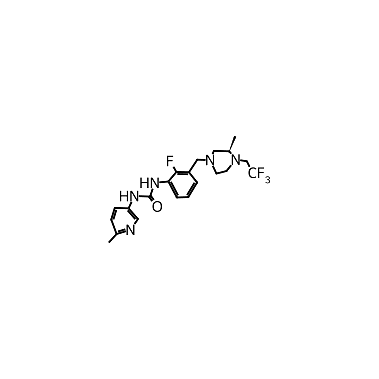 Cc1ccc(NC(=O)Nc2cccc(CN3CCN(CC(F)(F)F)[C@H](C)C3)c2F)cn1